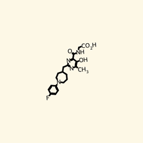 Cc1nc(CC2CCCN(c3ccc(F)cc3)CC2)nc(C(=O)NCC(=O)O)c1O